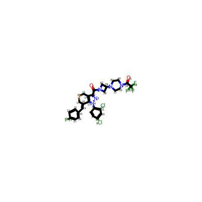 O=C(c1nn(-c2ccc(Cl)cc2Cl)c2c1CSC/C2=C\c1ccc(F)cc1)N1CC(N2CCN(C(=O)C(F)(F)F)CC2)C1